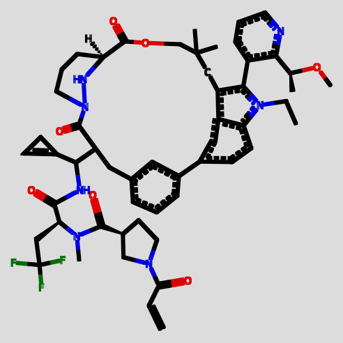 C=CC(=O)N1CC[C@H](C(=O)N(C)[C@@H](CC(F)(F)F)C(=O)NC(C2=CC2)C2Cc3cccc(c3)-c3ccc4c(c3)c(c(-c3cccnc3[C@H](C)OC)n4CC)CC(C)(C)COC(=O)[C@@H]3CCCN(N3)C2=O)C1